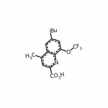 CCC(C)c1cc(OC(F)(F)F)c2nc(C(=O)O)cc(C)c2c1